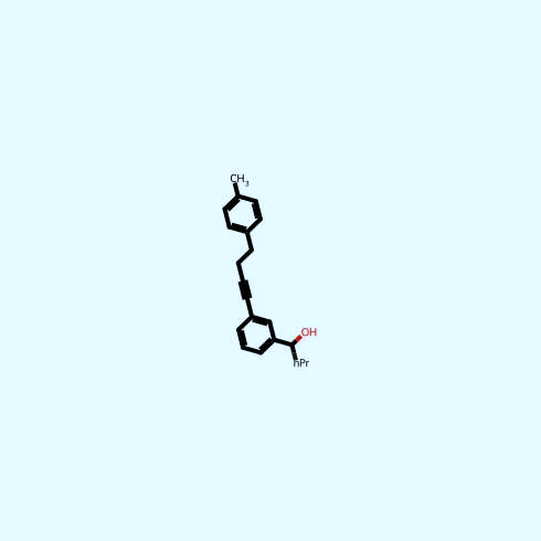 CCCC(O)c1cccc(C#CCCc2ccc(C)cc2)c1